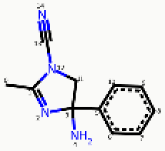 CC1=NC(N)(c2ccccc2)CN1C#N